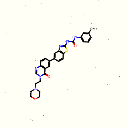 COc1cccc(NC(=O)Nc2nc3cc(-c4ccc5ncn(CCN6CCOCC6)c(=O)c5c4)ccc3s2)c1